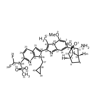 COc1cc(C(=O)N2[C@@H]3CC[C@H]2[C@@H](N)[C@@H](O)C3)cc2nc(-c3cc4ccc(N(C(F)F)S(C)(=O)=O)nc4n3CC3CC3)c(C)n12